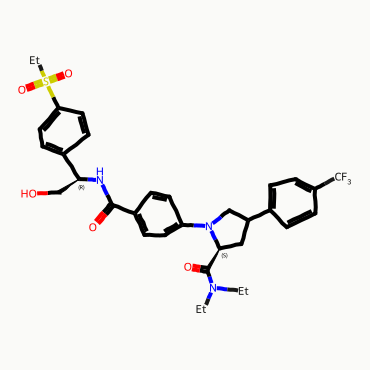 CCN(CC)C(=O)[C@@H]1CC(c2ccc(C(F)(F)F)cc2)CN1c1ccc(C(=O)N[C@@H](CO)c2ccc(S(=O)(=O)CC)cc2)cc1